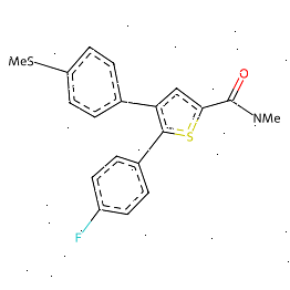 CNC(=O)c1cc(-c2ccc(SC)cc2)c(-c2ccc(F)cc2)s1